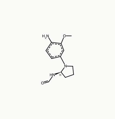 COc1cc(N2CCC[C@H]2NC=O)ccc1N